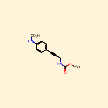 CC(C)(C)OC(=O)NCC#Cc1ccc(NC(=O)O)cc1